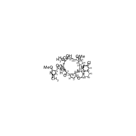 COc1nn(C)cc1C(=O)N[S@@]1(=O)=NC(=O)c2ccc3c(c2)N(C[C@@H]2CC[C@H]2[C@@H](OC)/C=C/[C@@](C)(O)[C@H](C)C1)C[C@@]1(CCCc2cc(Cl)ccc21)CO3